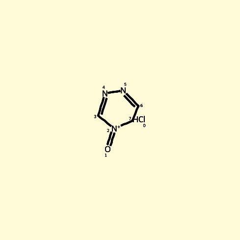 Cl.O=[N+]1C=NN=CC1